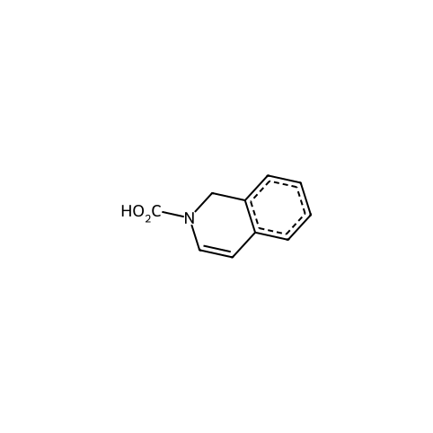 O=C(O)N1C=Cc2ccccc2C1